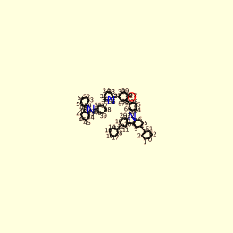 c1ccc(-c2ccc3c(c2)c2cc(-c4ccccc4)ccc2n3-c2ccc3oc4ccc(-c5cccc(-c6cccc(-n7c8ccccc8c8ccccc87)c6)n5)cc4c3c2)cc1